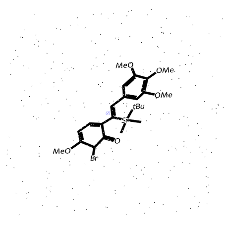 COC1=CC=C(/C(=C/c2cc(OC)c(OC)c(OC)c2)[Si](C)(C)C(C)(C)C)C(=O)C1Br